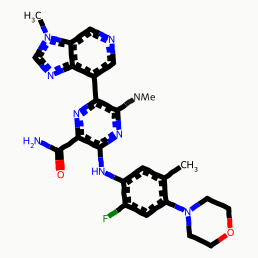 CNc1nc(Nc2cc(C)c(N3CCOCC3)cc2F)c(C(N)=O)nc1-c1cncc2c1ncn2C